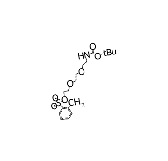 Cc1ccccc1S(=O)(=O)OCCOCCOCCNC(=O)OC(C)(C)C